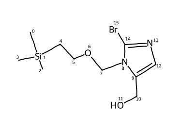 C[Si](C)(C)CCOCn1c(CO)cnc1Br